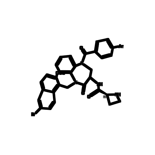 COc1ccc2cc(Br)ccc2c1CN1C(=O)C(NC(=O)[C@@H]2CCN2)CN(C(=O)c2ccc(C(C)=O)cc2)c2ccccc21